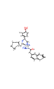 O=C(Cc1ccc2ccccc2c1)Nc1ncc(-c2ccc(O)cc2)nc1CC1CCCC1